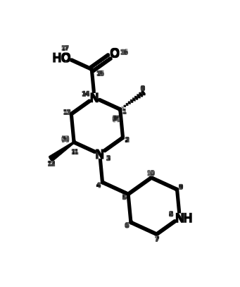 C[C@@H]1CN(CC2CCNCC2)[C@@H](C)CN1C(=O)O